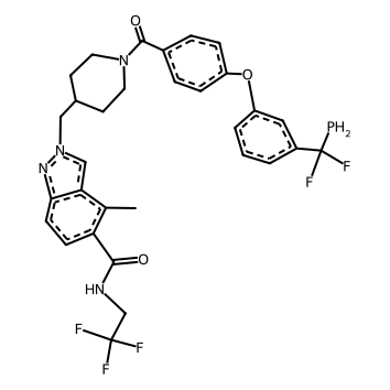 Cc1c(C(=O)NCC(F)(F)F)ccc2nn(CC3CCN(C(=O)c4ccc(Oc5cccc(C(F)(F)P)c5)cc4)CC3)cc12